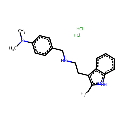 Cc1[nH]c2ccccc2c1CCNCc1ccc(N(C)C)cc1.Cl.Cl